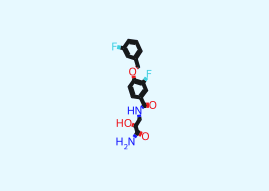 NC(=O)C(O)CNC(=O)c1ccc(OCc2cccc(F)c2)c(F)c1